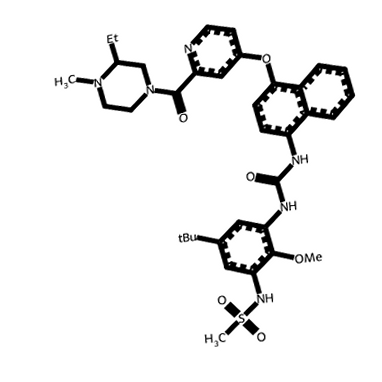 CCC1CN(C(=O)c2cc(Oc3ccc(NC(=O)Nc4cc(C(C)(C)C)cc(NS(C)(=O)=O)c4OC)c4ccccc34)ccn2)CCN1C